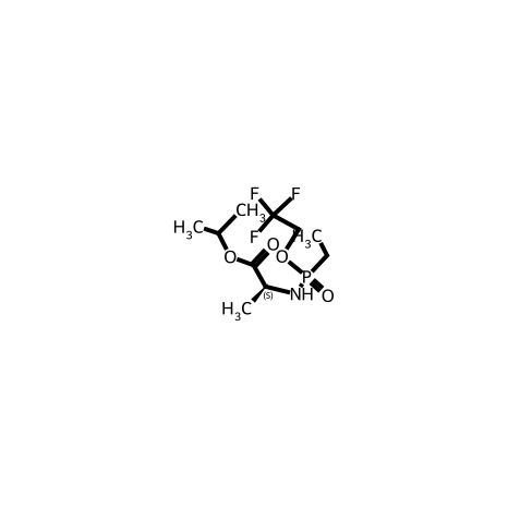 CCP(=O)(N[C@@H](C)C(=O)OC(C)C)OCC(F)(F)F